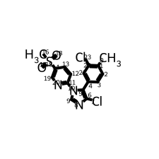 Cc1ccc(-c2c(Cl)ncn2-c2ccc(S(C)(=O)=O)cn2)cc1Cl